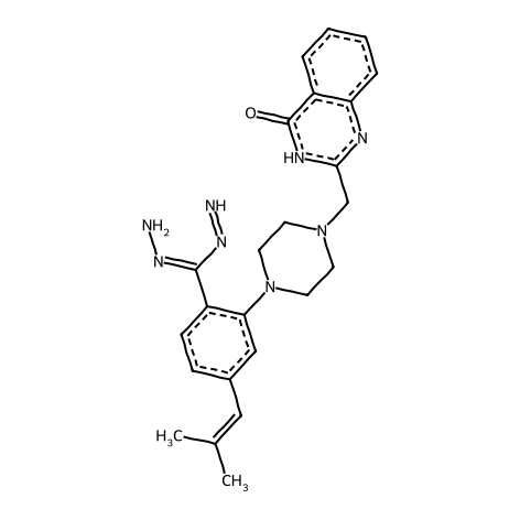 CC(C)=Cc1ccc(/C(N=N)=N/N)c(N2CCN(Cc3nc4ccccc4c(=O)[nH]3)CC2)c1